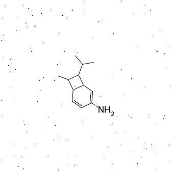 CC(C)C1C(C)C2C=CC(N)=CC21